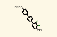 CCCCCCCCCc1ccc(-c2ccc(-c3ccc(CCC)c(F)c3F)cc2)cc1